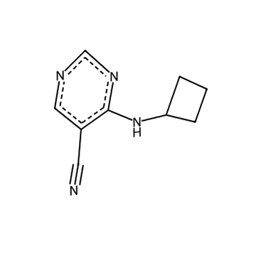 N#Cc1cncnc1NC1CCC1